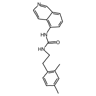 Cc1ccc(CCNC(=O)Nc2cccc3cnccc23)c(C)c1